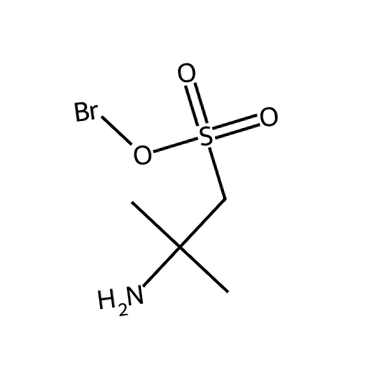 CC(C)(N)CS(=O)(=O)OBr